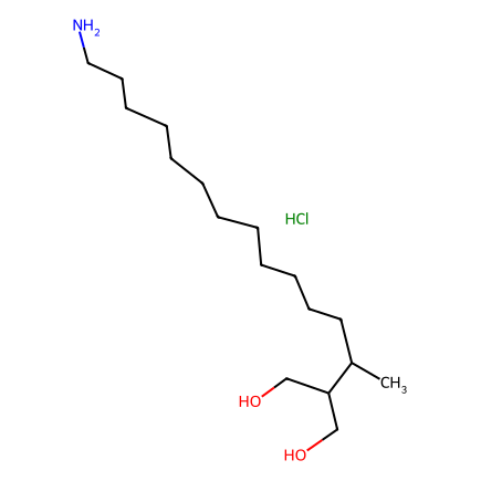 CC(CCCCCCCCCCCCN)C(CO)CO.Cl